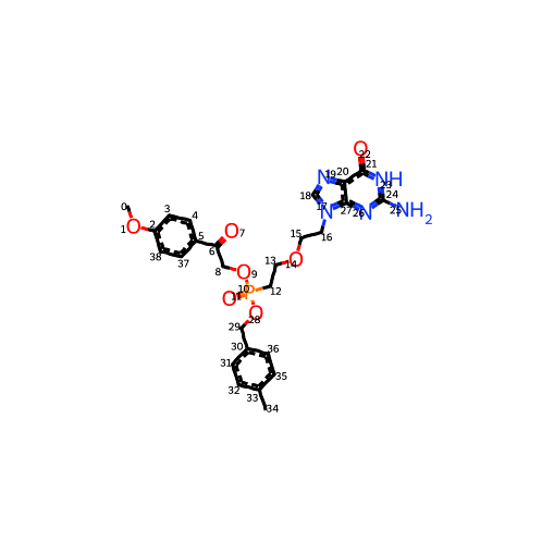 COc1ccc(C(=O)COP(=O)(CCOCCn2cnc3c(=O)[nH]c(N)nc32)OCc2ccc(C)cc2)cc1